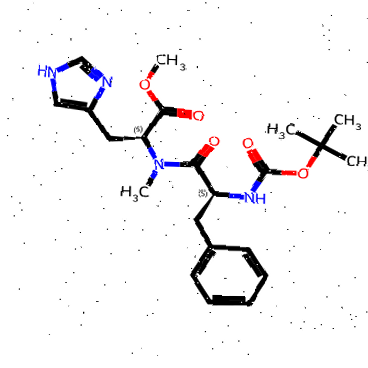 COC(=O)[C@H](Cc1c[nH]cn1)N(C)C(=O)[C@H](Cc1ccccc1)NC(=O)OC(C)(C)C